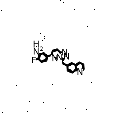 Nc1cc(-c2ccc3nnc(Cc4ccc5ncccc5c4)n3n2)ccc1F